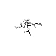 C=CC(=O)OCC(COC(=O)C=C)(COC(=O)C=C)NS(C)(=O)=O